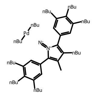 CCCCC1=C(c2cc(CCCC)c(CCCC)c(CCCC)c2)[N+](=[N-])C(c2cc(CCCC)c(CCCC)c(CCCC)c2)=C1C.CCC[CH2][Pd][CH2]CCC